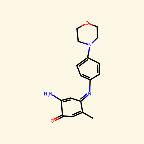 CC1=CC(=O)C(N)=CC1=Nc1ccc(N2CCOCC2)cc1